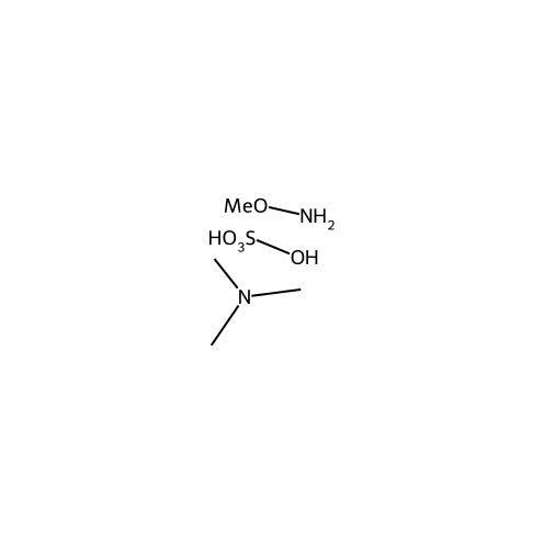 CN(C)C.CON.O=S(=O)(O)O